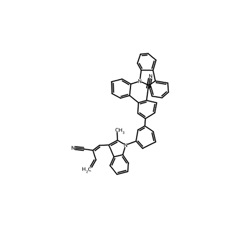 C=C/C(C#N)=C\c1c(C)n(-c2cccc(-c3ccc(C#N)c(-c4ccccc4-n4c5ccccc5c5ccccc54)c3)c2)c2ccccc12